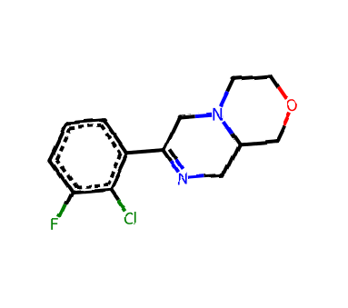 Fc1cccc(C2=NCC3COCCN3C2)c1Cl